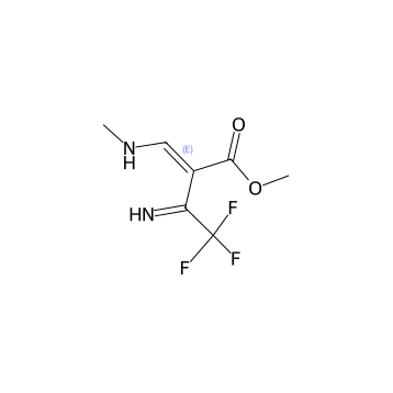 CN/C=C(\C(=N)C(F)(F)F)C(=O)OC